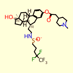 CN1CCC(CC(=O)Oc2ccc3c(c2)C[C@@H](CCN[S+]([O-])CCCC(F)(F)C(F)(F)F)[C@@H]2[C@@H]3CC[C@]3(C)[C@@H](O)CC[C@@H]23)CC1